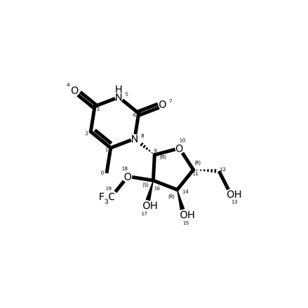 Cc1cc(=O)[nH]c(=O)n1[C@@H]1O[C@H](CO)[C@@H](O)[C@]1(O)OC(F)(F)F